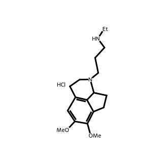 CCNCCCN1CCc2cc(OC)c(OC)c3c2C1CC3.Cl